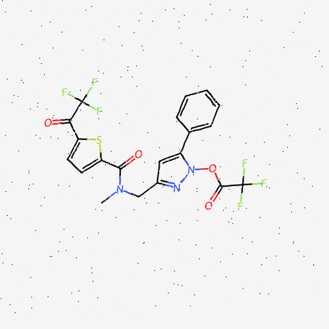 CN(Cc1cc(-c2ccccc2)n(OC(=O)C(F)(F)F)n1)C(=O)c1ccc(C(=O)C(F)(F)F)s1